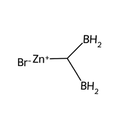 B[CH](B)[Zn+].[Br-]